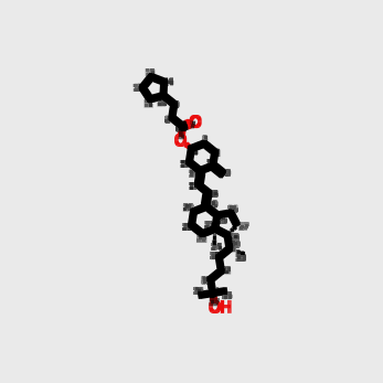 C=C1CC[C@H](OC(=O)CCC2CCCC2)C/C1=C/C=C1CCC[C@@]2(C)C1CC[C@@H]2[C@H](C)CCCC(C)(C)O